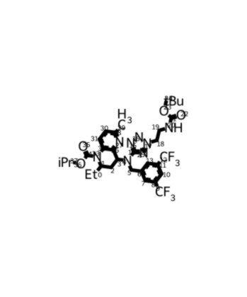 CCC1CC(N(Cc2cc(C(F)(F)F)cc(C(F)(F)F)c2)c2nnn(CCNC(=O)OC(C)(C)C)n2)c2nc(C)ccc2N1C(=O)OC(C)C